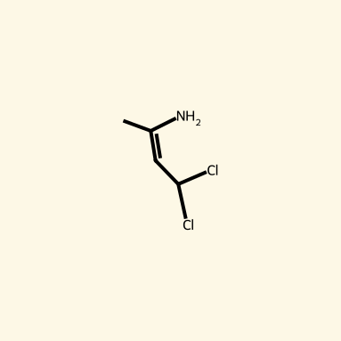 CC(N)=CC(Cl)Cl